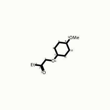 CCC(=O)COC1CCC(OC)CC1